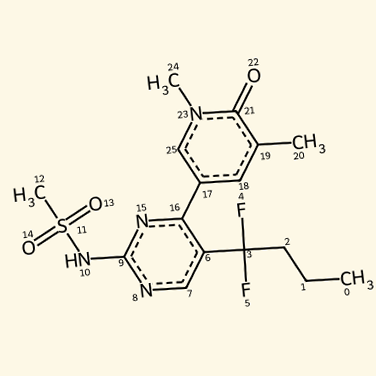 CCCC(F)(F)c1cnc(NS(C)(=O)=O)nc1-c1cc(C)c(=O)n(C)c1